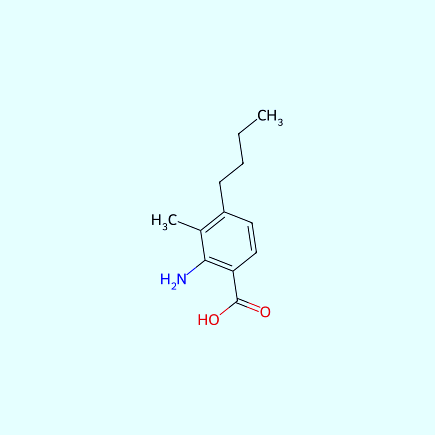 CCCCc1ccc(C(=O)O)c(N)c1C